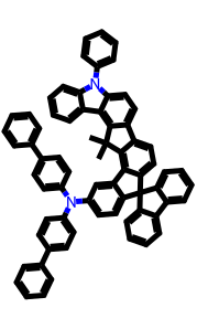 CC1(C)c2c(ccc3c2-c2cc(N(c4ccc(-c5ccccc5)cc4)c4ccc(-c5ccccc5)cc4)ccc2C32c3ccccc3-c3ccccc32)-c2ccc3c(c21)c1ccccc1n3-c1ccccc1